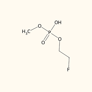 COP(=O)(O)OCCF